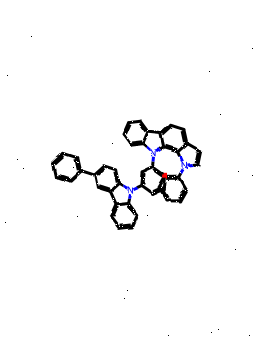 c1ccc(-c2ccc3c(c2)c2ccccc2n3-c2cccc(-n3c4ccccc4c4ccc5ccn(-c6ccccc6)c5c43)c2)cc1